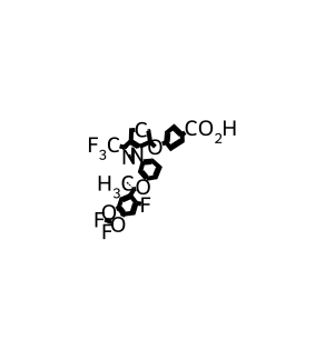 C[C@H](Oc1cccc(-n2nc(C(F)(F)F)c3c2C(Oc2ccc(C(=O)O)cc2)CCC3)c1)c1cc2c(cc1F)OC(F)(F)O2